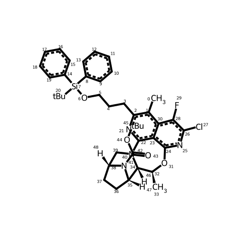 Cc1c(CCCO[Si](c2ccccc2)(c2ccccc2)C(C)(C)C)nc2c3c(nc(Cl)c(F)c13)O[C@@H](C)[C@@H]1[C@@H]3CC[C@H](CN21)N3C(=O)OC(C)(C)C